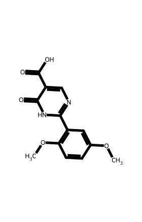 COc1ccc(OC)c(-c2ncc(C(=O)O)c(=O)[nH]2)c1